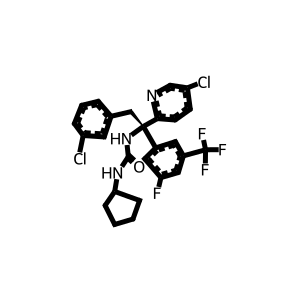 O=C(NC1CCCC1)N[C@@](Cc1cccc(Cl)c1)(c1cc(F)cc(C(F)(F)F)c1)c1ccc(Cl)cn1